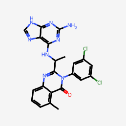 Cc1cccc2nc(C(C)Nc3nc(N)nc4[nH]cnc34)n(-c3cc(Cl)cc(Cl)c3)c(=O)c12